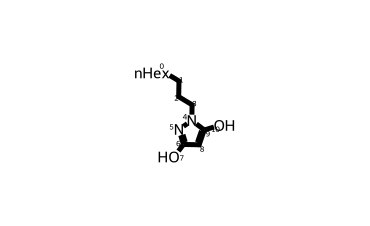 CCCCCCCCCn1nc(O)cc1O